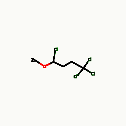 ClC(CCC(Cl)(Cl)Cl)[O][Zr]